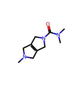 CN1CC2=C(C1)CN(C(=O)N(C)C)C2